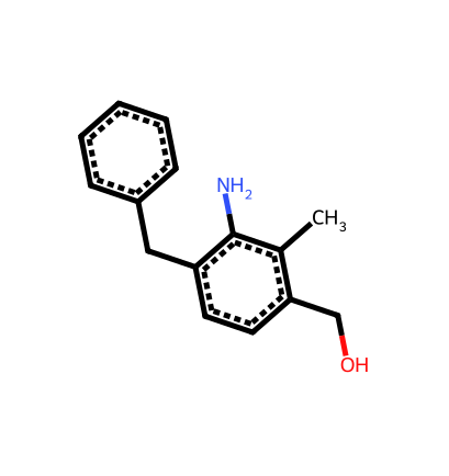 Cc1c(CO)ccc(Cc2ccccc2)c1N